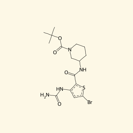 CC(C)(C)OC(=O)N1CCCC(NC(=O)c2sc(Br)cc2NC(N)=O)C1